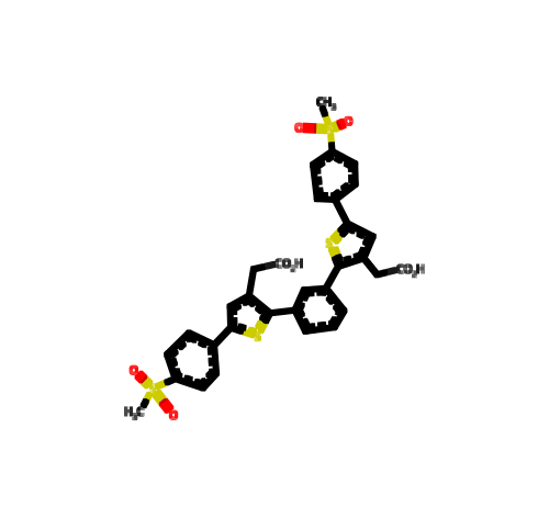 CS(=O)(=O)c1ccc(-c2cc(CC(=O)O)c(-c3cccc(-c4sc(-c5ccc(S(C)(=O)=O)cc5)cc4CC(=O)O)c3)s2)cc1